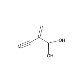 C=C(C#N)C(O)O